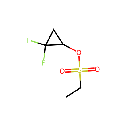 CCS(=O)(=O)OC1CC1(F)F